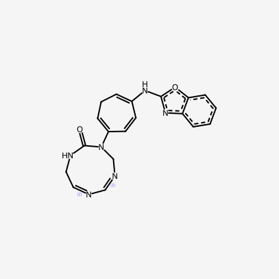 O=C1NC/C=N\C=N/CN1C1=CCC=C(Nc2nc3ccccc3o2)C=C1